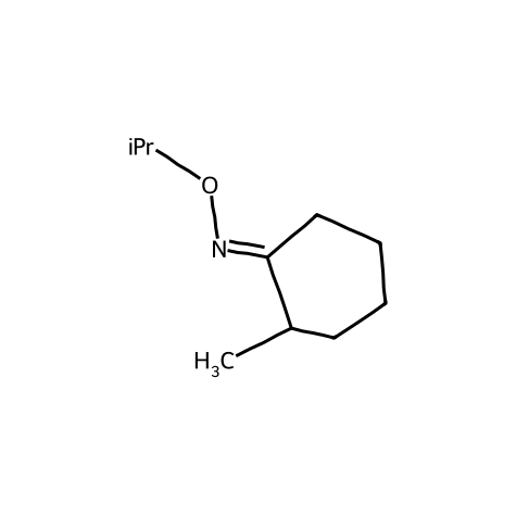 CC(C)O/N=C1\CCCCC1C